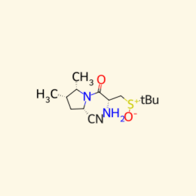 C[C@H]1C[C@@H](C#N)N(C(=O)[C@@H](N)C[S+]([O-])C(C)(C)C)[C@H]1C